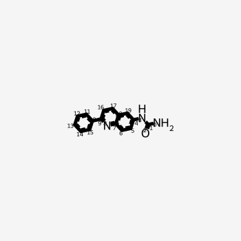 NC(=O)Nc1ccc2nc(-c3ccccc3)ccc2c1